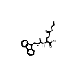 C=CCOC(=O)SCC(NC(=O)OCC1c2ccccc2-c2ccccc21)C(=O)O